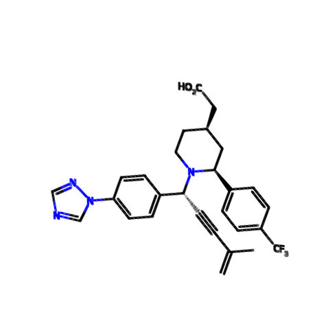 C=C(C)C#C[C@H](c1ccc(-n2cncn2)cc1)N1CC[C@@H](CC(=O)O)C[C@H]1c1ccc(C(F)(F)F)cc1